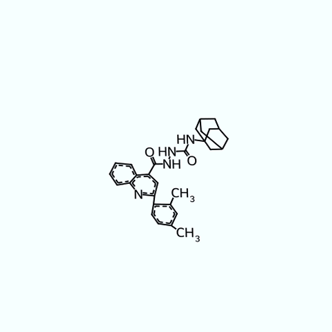 Cc1ccc(-c2cc(C(=O)NNC(=O)NC34CC5CC(CC(C5)C3)C4)c3ccccc3n2)c(C)c1